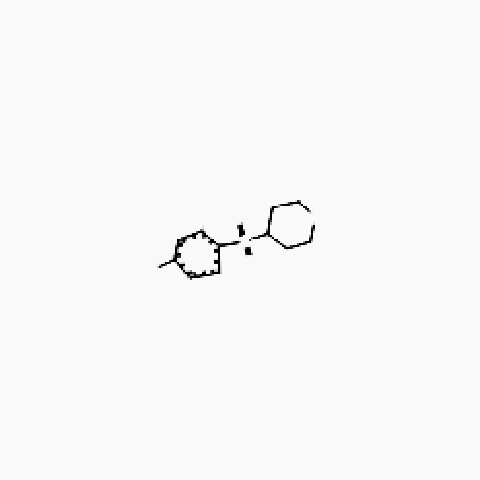 Cc1ccc(S(=O)(=O)C2CC[N]CC2)cc1